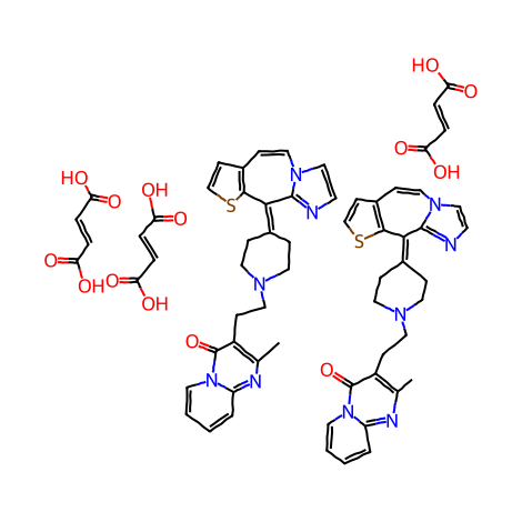 Cc1nc2ccccn2c(=O)c1CCN1CCC(=C2c3sccc3C=Cn3ccnc32)CC1.Cc1nc2ccccn2c(=O)c1CCN1CCC(=C2c3sccc3C=Cn3ccnc32)CC1.O=C(O)C=CC(=O)O.O=C(O)C=CC(=O)O.O=C(O)C=CC(=O)O